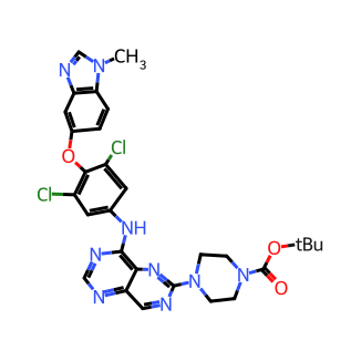 Cn1cnc2cc(Oc3c(Cl)cc(Nc4ncnc5cnc(N6CCN(C(=O)OC(C)(C)C)CC6)nc45)cc3Cl)ccc21